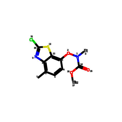 CCN(Oc1ccc(C)c2nc(Cl)sc12)C(=O)OC(C)(C)C